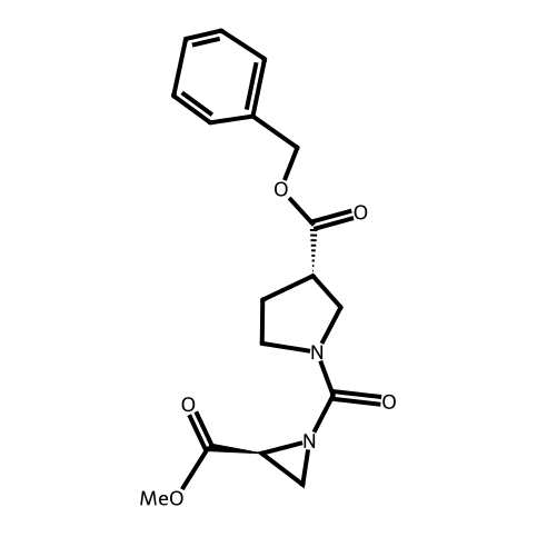 COC(=O)[C@@H]1CN1C(=O)N1CC[C@H](C(=O)OCc2ccccc2)C1